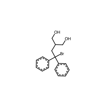 OCC(CO)CC(Br)(c1ccccc1)c1ccccc1